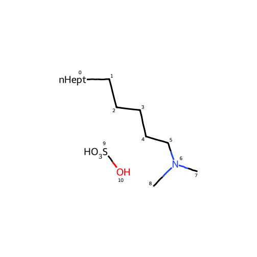 CCCCCCCCCCCCN(C)C.O=S(=O)(O)O